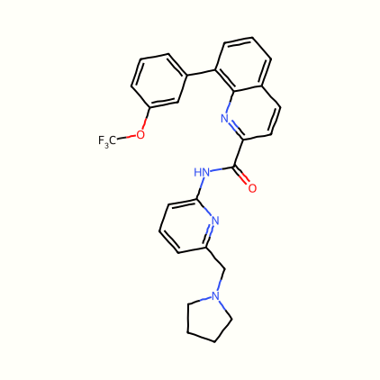 O=C(Nc1cccc(CN2CCCC2)n1)c1ccc2cccc(-c3cccc(OC(F)(F)F)c3)c2n1